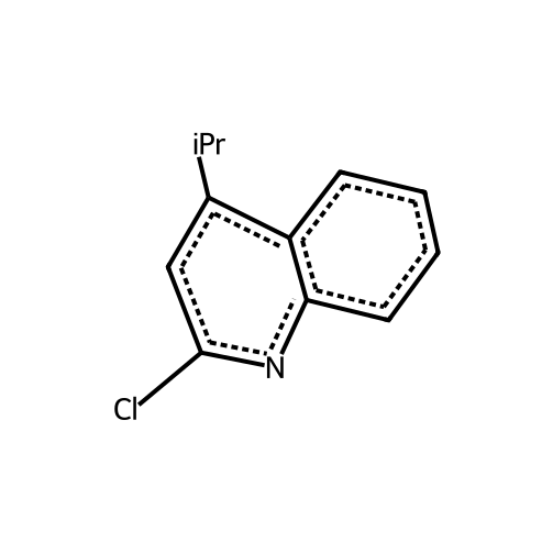 CC(C)c1cc(Cl)nc2ccccc12